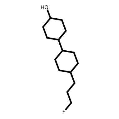 OC1CCC(C2CCC(CCCF)CC2)CC1